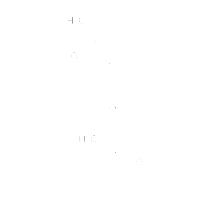 CC1(COCC23CCC2(C)OC3)CCCO1